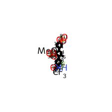 COc1c(-c2ccc(OS(C)(=O)=O)cc2)cc(C)c(-c2ccc(NC(=O)C(F)(F)F)c(F)c2)c1OS(C)(=O)=O